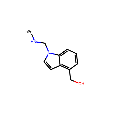 CCCNCn1ccc2c(CO)cccc21